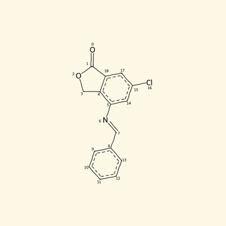 O=C1OCc2c(N=Cc3ccccc3)cc(Cl)cc21